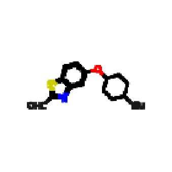 CC(C)(C)C1CCC(Oc2ccc3sc(C=O)nc3c2)CC1